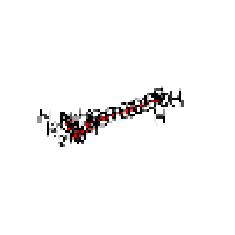 N=C(c1ccc2oc(N)nc2c1)c1c(N)ncnc1NCc1ccc2c(c1)CCN(C(=O)CCOCCOCCOCCOCCOCCOCCOCCOCCNC(=O)O)C2